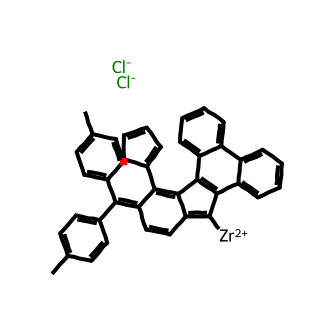 Cc1ccc(C(c2ccc(C)cc2)=c2ccc3c(c2C2=CC=CC2)-c2c(c4ccccc4c4ccccc24)[C]=3[Zr+2])cc1.[Cl-].[Cl-]